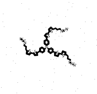 [N-]=[N+]=NCCCc1ccc(-c2ccc(-c3ccc(N(c4ccc(-c5ccc(-c6ccc(CCCN=[N+]=[N-])s6)s5)cc4)c4ccc(-c5ccc(-c6ccc(CCCN=[N+]=[N-])s6)s5)cc4)cc3)s2)s1